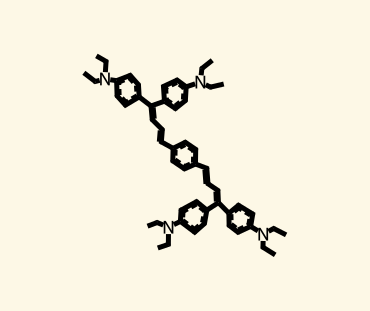 CCN(CC)c1ccc(C(=C/C=C/c2ccc(/C=C/C=C(c3ccc(N(CC)CC)cc3)c3ccc(N(CC)CC)cc3)cc2)c2ccc(N(CC)CC)cc2)cc1